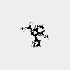 CC(C)n1cc(-c2cc[nH]n2)c2c(N)ncnc21